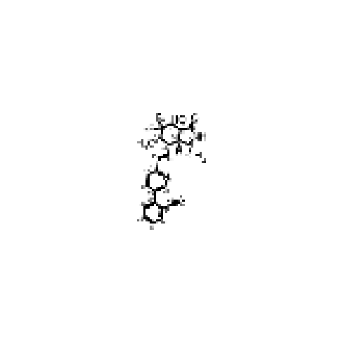 C[C@H]1NC(=O)[C@]2(O)CC(F)(F)[C@@H](C)[C@H](/C=C/c3ccc(-c4ccccc4C#N)cn3)[C@H]12